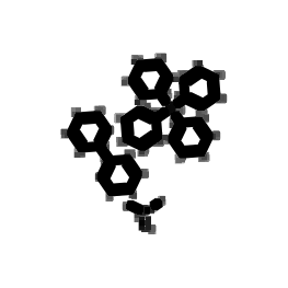 C[PH+](C)C.c1ccc(-c2ccccc2)cc1.c1ccc([B-](c2ccccc2)(c2ccccc2)c2ccccc2)cc1